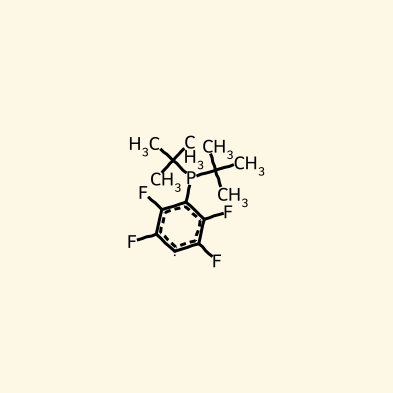 CC(C)(C)P(c1c(F)c(F)[c]c(F)c1F)C(C)(C)C